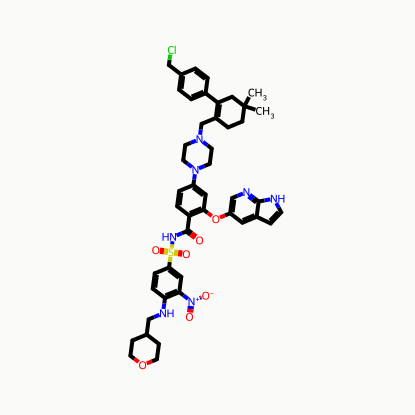 CC1(C)CCC(CN2CCN(c3ccc(C(=O)NS(=O)(=O)c4ccc(NCC5CCOCC5)c([N+](=O)[O-])c4)c(Oc4cnc5[nH]ccc5c4)c3)CC2)=C(c2ccc(CCl)cc2)C1